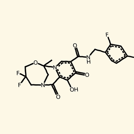 CC12CN(CC(F)(F)CO1)C(=O)c1c(O)c(=O)c(C(=O)NCc3ccc(F)cc3F)cn12